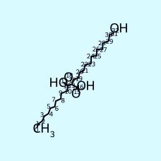 CCCCCCCCCCCC(O)C(C(=O)O)C(=O)CCCCCCCCCCCCCO